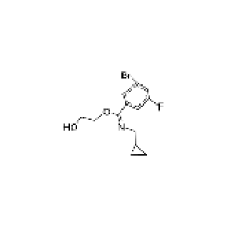 OCCO/C(=N/CC1CC1)c1cc(F)cc(Br)c1